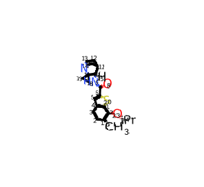 Cc1ccc2cc(C(=O)N[C@@H]3C4CCN(CC4)C34CC4)sc2c1OC(C)C